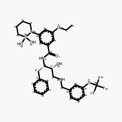 CCOc1cc(C(=O)N[C@@H](Cc2ccccc2)[C@H](O)CNCc2cccc(OC(F)(F)F)c2)cc(N2CCCCS2(O)O)c1